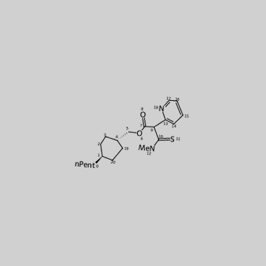 CCCCC[C@H]1CC[C@H](COC(=O)C(C(=S)NC)c2ccccn2)CC1